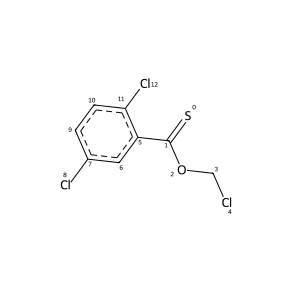 S=C(OCCl)c1cc(Cl)ccc1Cl